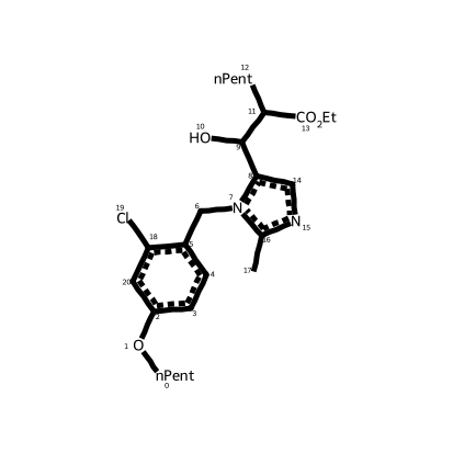 CCCCCOc1ccc(Cn2c(C(O)C(CCCCC)C(=O)OCC)cnc2C)c(Cl)c1